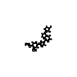 CC1CCN(C2CCc3c(-c4cnc(-c5ccc(OC(C)C)c(C#N)c5)s4)cccc32)C1